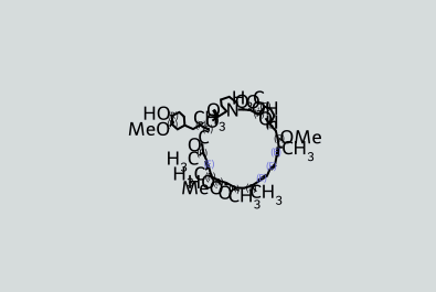 CO[C@H]1C[C@@H]2CC[C@@H](C)[C@@](O)(O2)C(=O)C(=O)N2CCCCC2C(=O)O[C@H]([C@H](C)CC2CC[C@@H](O)[C@H](OC)C2)CC(=O)[C@H](C)/C=C(\C)[C@@H](O)[C@@H](OC)C(=O)[C@H](C)C[C@H](C)/C=C/C=C/C=C/1C